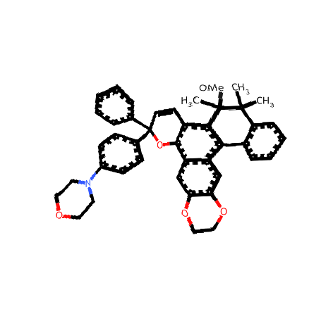 COC1(C)c2c3c(c4cc5c(cc4c2-c2ccccc2C1(C)C)OCCO5)OC(c1ccccc1)(c1ccc(N2CCOCC2)cc1)C=C3